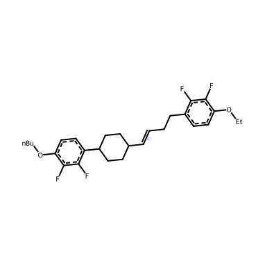 CCCCOc1ccc(C2CCC(/C=C/CCc3ccc(OCC)c(F)c3F)CC2)c(F)c1F